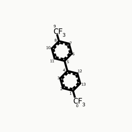 FC(F)(F)c1ccc(-c2ccc(C(F)(F)F)cc2)cc1